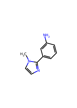 Cn1ccnc1-c1cccc(N)c1